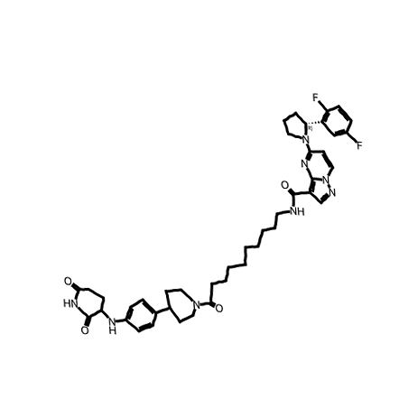 O=C1CCC(Nc2ccc(C3CCN(C(=O)CCCCCCCCCNC(=O)c4cnn5ccc(N6CCC[C@@H]6c6cc(F)ccc6F)nc45)CC3)cc2)C(=O)N1